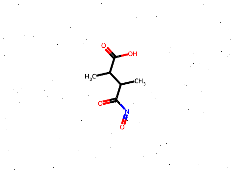 CC(C(=O)O)C(C)C(=O)N=O